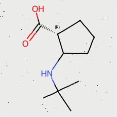 CC(C)(C)NC1CCC[C@H]1C(=O)O